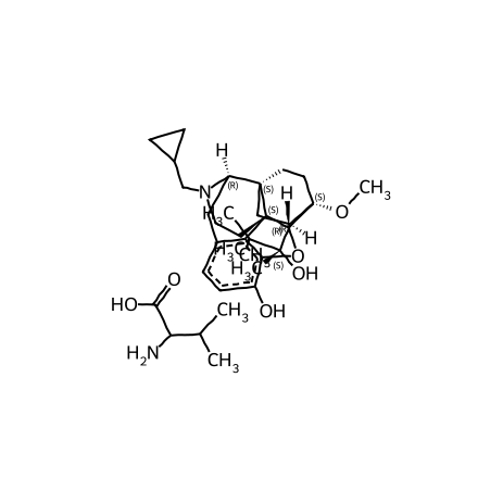 CC(C)C(N)C(=O)O.CO[C@@]12CC[C@@]3(C[C@@H]1[C@](C)(O)C(C)(C)C)[C@H]1Cc4ccc(O)c5c4[C@@]3(CCN1CC1CC1)[C@H]2O5